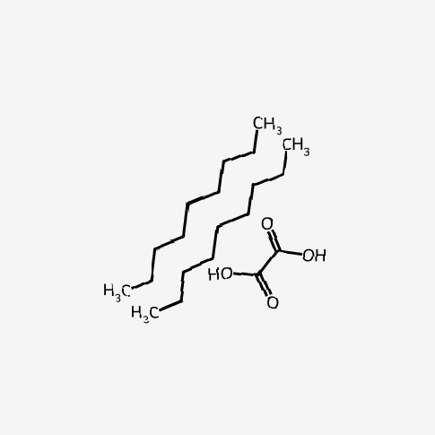 CCCCCCCCC.CCCCCCCCC.O=C(O)C(=O)O